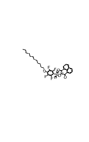 CCCCCCCCCCCCOc1c(F)c(F)c(S(=O)(=O)ON2C(=O)c3cccc4cccc(c34)C2=O)c(F)c1F